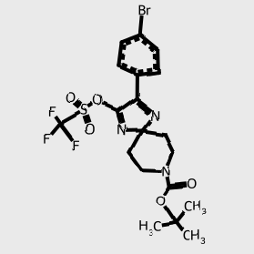 CC(C)(C)OC(=O)N1CCC2(CC1)N=C(OS(=O)(=O)C(F)(F)F)C(c1ccc(Br)cc1)=N2